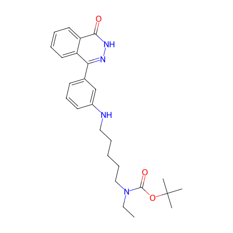 CCN(CCCCCNc1cccc(-c2n[nH]c(=O)c3ccccc23)c1)C(=O)OC(C)(C)C